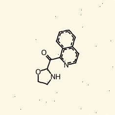 O=C([C]1NCCO1)c1nccc2ccccc12